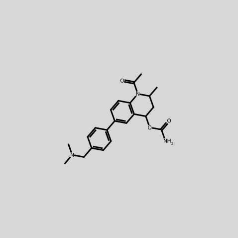 CC(=O)N1c2ccc(-c3ccc(CN(C)C)cc3)cc2C(OC(N)=O)CC1C